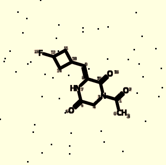 CC(=O)N1CC(=O)N/C(=C\C2CC(F)C2)C1=O